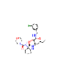 CCCC[C@H](NC(=O)C1(NC(=O)N2CCOCC2)CCCCC1)C(=O)C(=O)NCc1cccc(F)c1